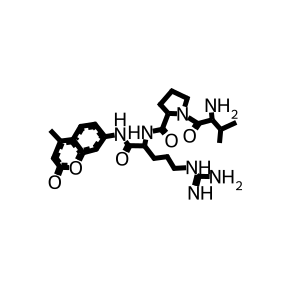 Cc1cc(=O)oc2cc(NC(=O)C(CCCNC(=N)N)NC(=O)C3CCCN3C(=O)C(N)C(C)C)ccc12